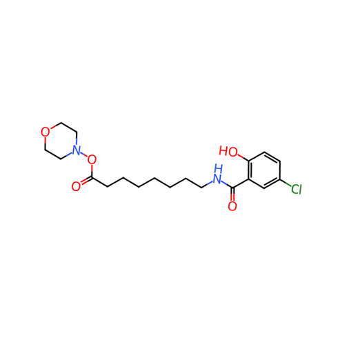 O=C(CCCCCCCNC(=O)c1cc(Cl)ccc1O)ON1CCOCC1